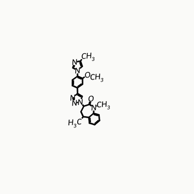 COc1cc(-c2cn(C3CC(C)c4ccccc4N(C)C3=O)nn2)ccc1-n1cnc(C)c1